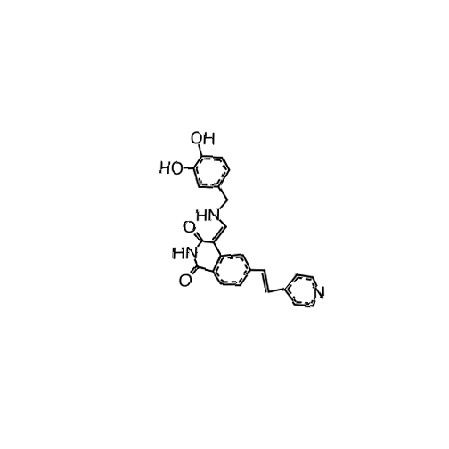 O=C1NC(=O)c2ccc(C=Cc3ccncc3)cc2C1=CNCc1ccc(O)c(O)c1